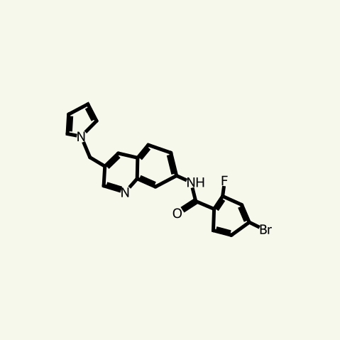 O=C(Nc1ccc2cc(Cn3cccc3)cnc2c1)c1ccc(Br)cc1F